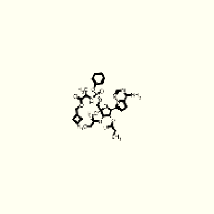 CCC(=O)O[C@H]1[C@H](c2ccc3c(N)ncnn23)O[C@](C)(COP(=O)(N[C@@H](C)C(=O)OCC2CCC2)Oc2ccccc2)[C@H]1OC(=O)CC